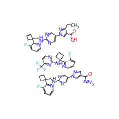 CCc1nn(-c2cnc(NCC3(c4ncccc4F)CCC3)nc2)cc1C(=O)O.Fc1cccnc1C1(Nc2nccc(C(F)(F)F)n2)CCC1.NC(=O)c1cnn(-c2cnc(NCC3(c4ncccc4F)CCC3)nc2)c1